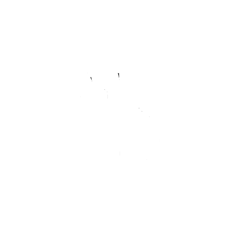 C[C@H](N[S@+]([O-])C(C)(C)C)C1(CO)CN(C(=O)OC(C)(C)C)C1